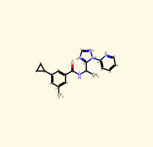 CC(NC(=O)c1cc(C2CC2)cc(C(F)(F)F)c1)c1ncnn1-c1ccccn1